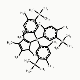 CC1=C(C)C(C)C([Si](c2cc([Si](C)(C)C)c(C)cc2C)(c2cc([Si](C)(C)C)c(C)cc2C)c2cc([Si](C)(C)C)c(C)cc2C)=C1C